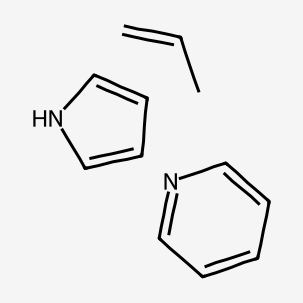 C=CC.c1cc[nH]c1.c1ccncc1